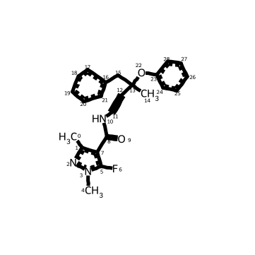 Cc1nn(C)c(F)c1C(=O)NC#CC(C)(Cc1ccccc1)Oc1ccccc1